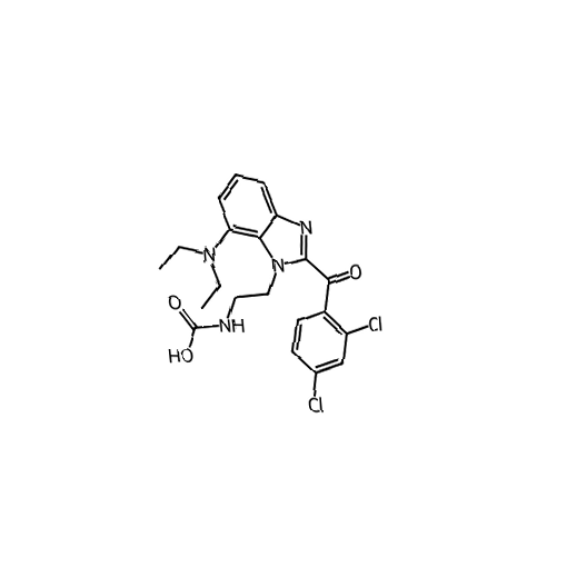 CCN(CC)c1cccc2nc(C(=O)c3ccc(Cl)cc3Cl)n(CCNC(=O)O)c12